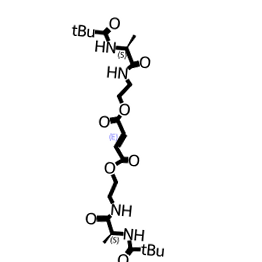 C[C@H](NC(=O)C(C)(C)C)C(=O)NCCOC(=O)/C=C/C(=O)OCCNC(=O)[C@H](C)NC(=O)C(C)(C)C